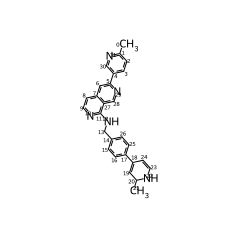 Cc1ccc(-c2cc3ccnc(NCc4ccc(C5=CC(C)NC=C5)cc4)c3cn2)cn1